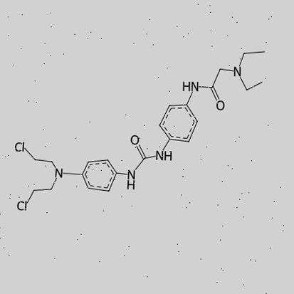 CCN(CC)CC(=O)Nc1ccc(NC(=O)Nc2ccc(N(CCCl)CCCl)cc2)cc1